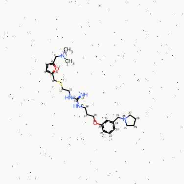 CN(C)Cc1ccc(CSCCNC(=N)NCCCOc2cccc(CN3CCCC3)c2)o1